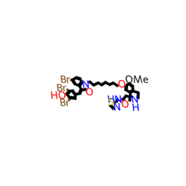 COc1cc2c(cc1OCCCCCCCCN1C(=O)C(=Cc3cc(Br)c(O)c(Br)c3)c3cc(Br)ccc31)C(C)(CC(=O)Nc1nccs1)NCC2